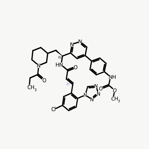 CCC(=O)N1CCCC(C[C@H](NC(=O)/C=C/c2cc(Cl)ccc2-n2cnnn2)c2cc(-c3ccc(NC(=O)OC)cc3)cnn2)C1